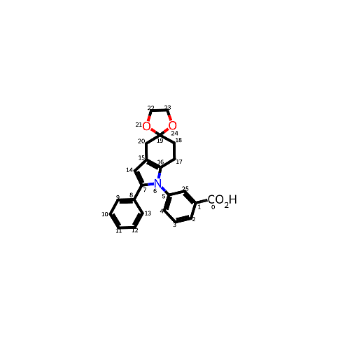 O=C(O)c1cccc(-n2c(-c3ccccc3)cc3c2CCC2(C3)OCCO2)c1